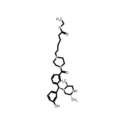 CCOC(=O)CCCCCN1CCN(C(=O)c2cccc([C@H](c3cccc(O)c3)N3C[C@@H](C)NC[C@@H]3C)c2)CC1